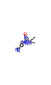 CCCCC(CCC)NC1=C(C(=N)N2CCc3cc(-c4cnn(C)c4)ccc32)CN(C=O)CC1